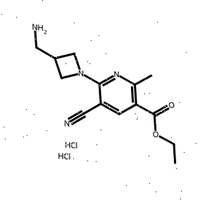 CCOC(=O)c1cc(C#N)c(N2CC(CN)C2)nc1C.Cl.Cl